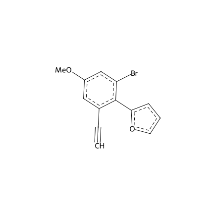 C#Cc1cc(OC)cc(Br)c1-c1ccco1